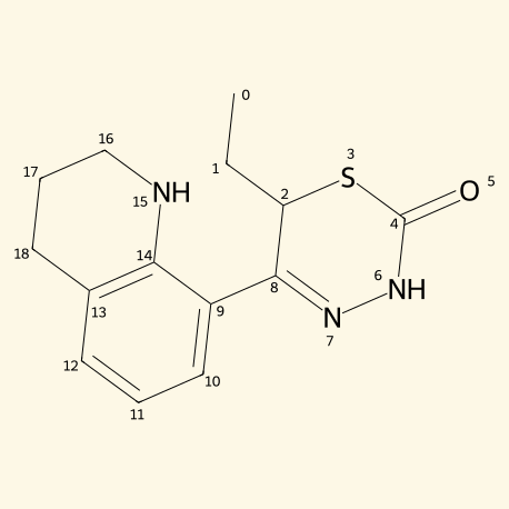 CCC1SC(=O)NN=C1c1cccc2c1NCCC2